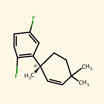 CC1(C)C=C[C@](C)(c2cc(F)ccc2F)CC1